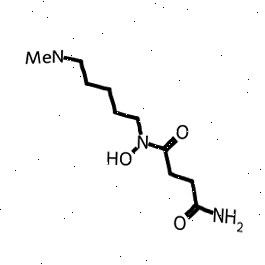 CNCCCCCN(O)C(=O)CCC(N)=O